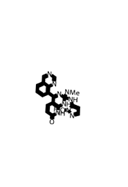 CNC1(Nc2ccnn2C(F)(F)F)N=C(c2cccc3cncnc23)c2ccc(=O)[nH]c2N1